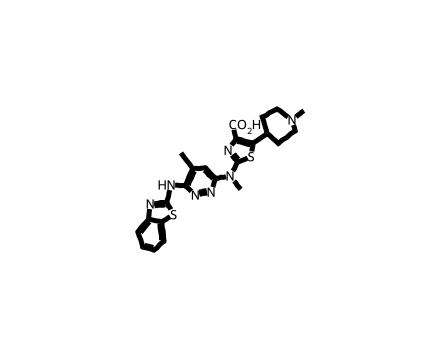 Cc1cc(N(C)c2nc(C(=O)O)c(C3CCN(C)CC3)s2)nnc1Nc1nc2ccccc2s1